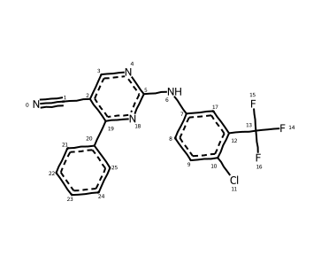 N#Cc1cnc(Nc2ccc(Cl)c(C(F)(F)F)c2)nc1-c1ccccc1